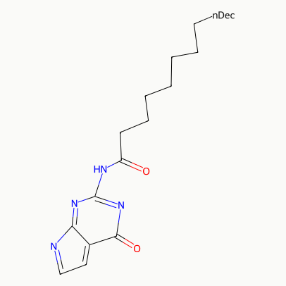 CCCCCCCCCCCCCCCCCC(=O)NC1=NC(=O)C2=CC=NC2=N1